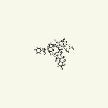 C=CCOP(=O)(OCCC#N)OC1C(F)[C@H](n2cnc3c(NC(=O)c4ccccc4)ncnc32)O[C@@H]1COP(=S)(OCCC#N)OC1C(F)[C@H](n2ccc(=O)[nH]c2=O)O[C@@H]1CO